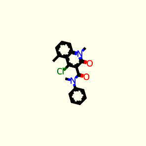 Cc1cccc2c1c(Cl)c(C(=O)N(C)c1ccccc1)c(=O)n2C